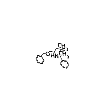 CC(C)(F)CC(COCc1ccccc1)NCc1ccccc1